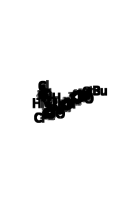 CC(C)(C)OC(=O)N1CCCC(N2CCC(C(=O)Nc3ccc(Cl)cc3C(=O)Nc3ccc(Cl)cn3)CC2)CC1